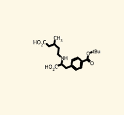 CC(CCNC(Cc1ccc(C(=O)OC(C)(C)C)cc1)C(=O)O)CC(=O)O